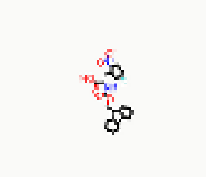 O=C(N[C@@H](Cc1cc(F)ccc1[N+](=O)[O-])C(=O)O)OCC1c2ccccc2-c2ccccc21